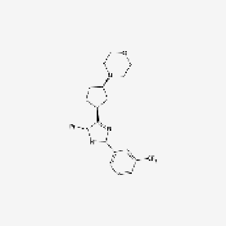 CC(C)n1nc(-c2cccc(C(F)(F)F)c2)nc1[C@H]1CC[C@@H](N2CCOCC2)C1